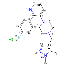 Cc1c(CN2CCN(c3cccnc3-c3ccc(F)cc3)CC2)cnn1C.Cl